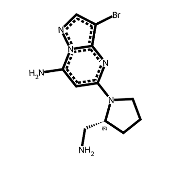 NC[C@H]1CCCN1c1cc(N)n2ncc(Br)c2n1